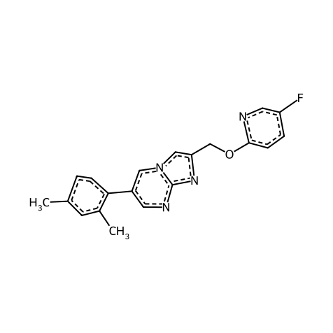 Cc1ccc(-c2cnc3nc(COc4ccc(F)cn4)cn3c2)c(C)c1